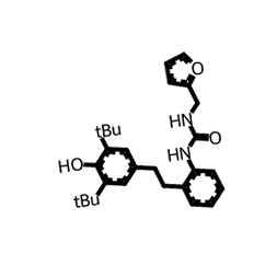 CC(C)(C)c1cc(CCc2ccccc2NC(=O)NCc2ccco2)cc(C(C)(C)C)c1O